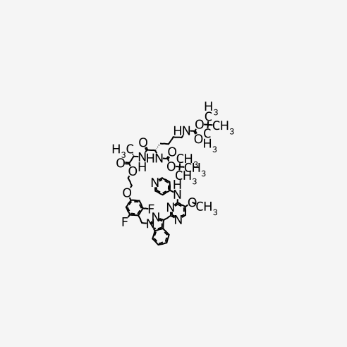 COc1cnc(-c2nn(Cc3c(F)cc(OCCOC(=O)[C@H](C)NC(=O)[C@H](CCCCNC(=O)OC(C)(C)C)NC(=O)OC(C)(C)C)cc3F)c3ccccc23)nc1Nc1ccncc1